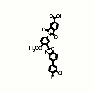 COc1ccc(N2C(=O)c3ccc(C(=O)O)cc3C2=O)cc1-c1nc2cc(-c3ccc(F)c(Cl)c3)ccc2o1